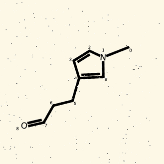 Cn1ccc(CCC=O)c1